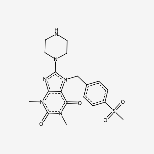 Cn1c(=O)c2c(nc(N3CCNCC3)n2Cc2ccc(S(C)(=O)=O)cc2)n(C)c1=O